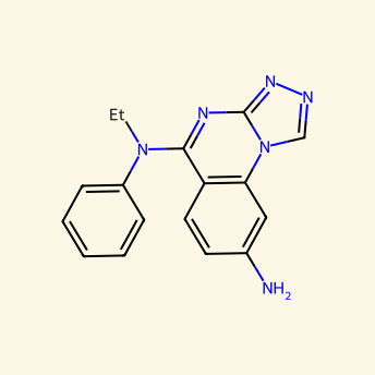 CCN(c1ccccc1)c1nc2nncn2c2cc(N)ccc12